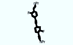 CCCC#Cc1ccc(C#Cc2ccc(C=CCCC)c(F)c2)cc1F